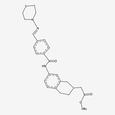 CCCCOC(=O)CC1CCc2ccc(NC(=O)c3ccc(C=NN4CCSCC4)cc3)cc2C1